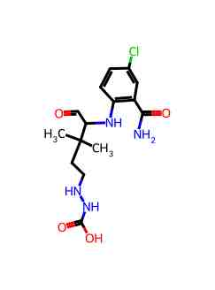 CC(C)(CCNNC(=O)O)C(C=O)Nc1ccc(Cl)cc1C(N)=O